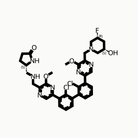 COc1nc(-c2cccc(-c3cccc(-c4cnc(CN5C[C@@H](O)C[C@@H](F)C5)c(OC)n4)c3Cl)c2Cl)cnc1CNC[C@@H]1CCC(=O)N1